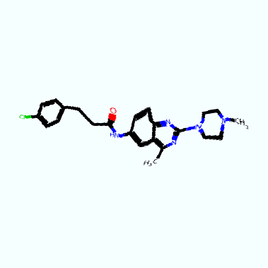 Cc1nc(N2CCN(C)CC2)nc2ccc(NC(=O)CCc3ccc(Cl)cc3)cc12